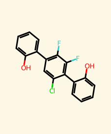 Oc1ccccc1-c1cc(Cl)c(-c2ccccc2O)c(F)c1F